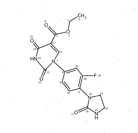 CCOC(=O)c1cn(-c2ccc(N3CCNC3=O)c(F)c2)c(=O)[nH]c1=O